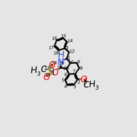 COc1cccc2c1CCC1C(Cc3ccccc3)NC(OS(C)(=O)=O)C21